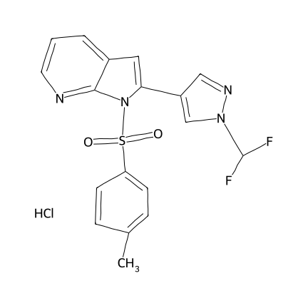 Cc1ccc(S(=O)(=O)n2c(-c3cnn(C(F)F)c3)cc3cccnc32)cc1.Cl